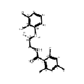 Cc1cc(C)c(C(=O)NC[C@H](C)Oc2cccc(C)c2I)c(C)c1